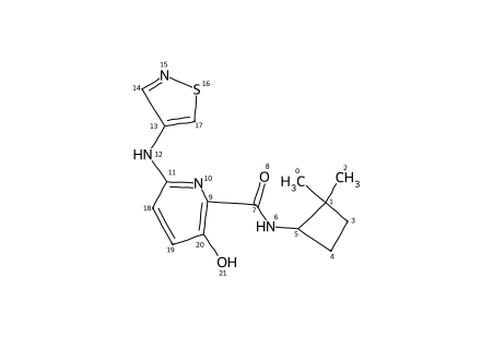 CC1(C)CCC1NC(=O)c1nc(Nc2cnsc2)ccc1O